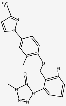 CCc1cccc(-n2nnn(C)c2=O)c1COc1ccc(-n2ccc(C(F)(F)F)n2)cc1C